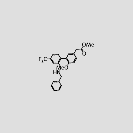 COC(=O)Cc1ccc(OC)c(-c2ccc(C(F)(F)F)cc2CNCc2ccccc2)c1